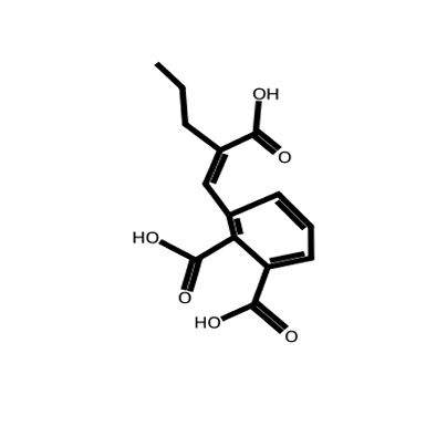 CCCC(=Cc1cccc(C(=O)O)c1C(=O)O)C(=O)O